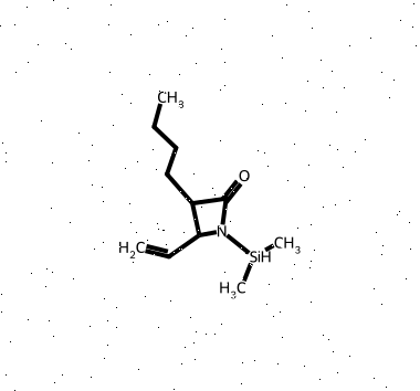 C=CC1C(CCCC)C(=O)N1[SiH](C)C